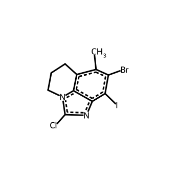 Cc1c(Br)c(I)c2nc(Cl)n3c2c1CCC3